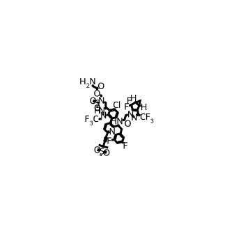 CC(C)(C#Cc1ccc(-c2ccc(Cl)c3c(CN(COC(=O)CN)[SH](=O)=O)nn(CC(F)(F)F)c23)c(C(Cc2cc(F)cc(F)c2)NC(=O)Cn2nc(C(F)(F)F)c3c2C(F)(F)[C@@H]2C[C@H]32)n1)S(C)(=O)=O